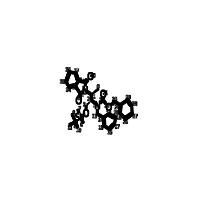 C[C@@H]([C@@H](CO[Si](C)(C)C(C)(C)C)N(Cc1ccccc1)C(=O)OCc1ccccc1)N1C(=O)c2ccccc2C1=O